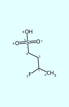 CC(F)CCS(=O)(=O)O